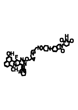 CCc1cccc2cc(O)cc(-c3ncc4c(N5CC6CCC(C5)N6)nc(OCC5(CN6CC(CN7CC8(CCN(c9ccc%10c(c9)CN(C9CCC(=O)NC9=O)C%10=O)CC8)C7)C6)CC5)nc4c3F)c12